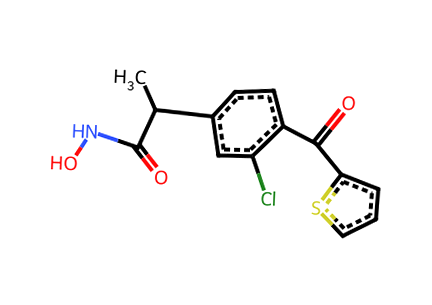 CC(C(=O)NO)c1ccc(C(=O)c2cccs2)c(Cl)c1